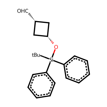 CC(C)(C)[Si](O[C@H]1C[C@@H](C=O)C1)(c1ccccc1)c1ccccc1